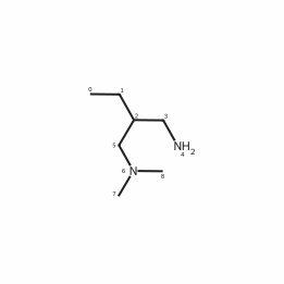 CCC(CN)CN(C)C